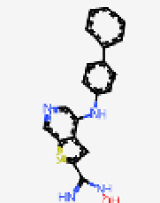 N=C(NO)c1cc2c(Nc3ccc(-c4ccccc4)cc3)cncc2s1